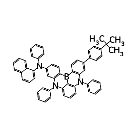 CC(C)(C)c1ccc(-c2ccc3c(c2)N(c2ccccc2)c2cccc4c2B3c2ccc(N(c3ccccc3)c3cccc5ccccc35)cc2N4c2ccccc2)cc1